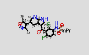 CCCS(=O)(=O)Nc1ccc(F)c(C(=O)c2c[nH]c3ncc(-c4c(C)noc4C)cc23)c1F